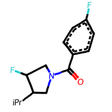 CC(C)C1CN(C(=O)c2ccc(F)cc2)CC1F